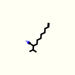 C=CCCCCCCC(C#N)C(C)C